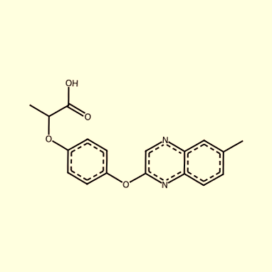 Cc1ccc2nc(Oc3ccc(OC(C)C(=O)O)cc3)cnc2c1